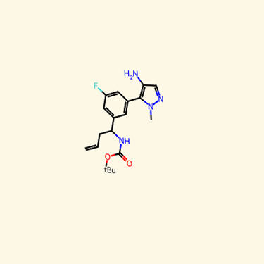 C=CCC(NC(=O)OC(C)(C)C)c1cc(F)cc(-c2c(N)cnn2C)c1